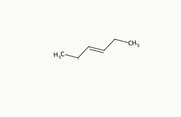 C[CH]/C=C/CC